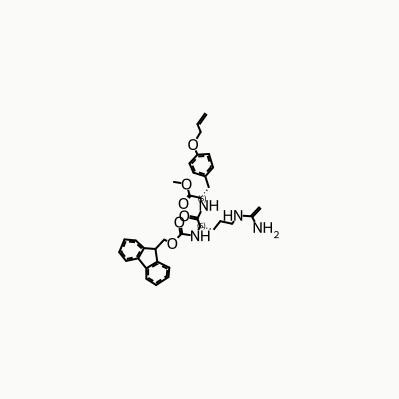 C=CCOc1ccc(C[C@H](NC(=O)[C@H](CCCNC(=C)N)NC(=O)OCC2c3ccccc3-c3ccccc32)C(=O)OC)cc1